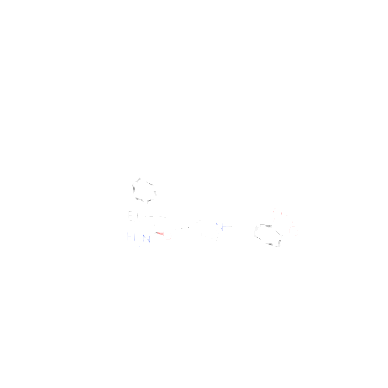 CCC(CCC1C2CN(CCc3ccc4c(c3)OCO4)CC12)(C(N)=O)c1ccccc1